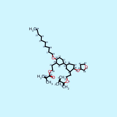 C=C(C)C(=C)OCCC1CC(C2CCC(OCCCCCCCCCC)C(CCOC(=O)C(=C)C)C2)CCC1OC1CCOC1